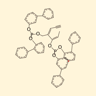 C#C/C=C(COP(Oc1cccc(-c2ccccc2)c1)Oc1ccccc1-c1ccccc1)\C(=C/C)OP(Oc1cccc(-c2ccccc2)c1)Oc1ccccc1-c1ccccc1